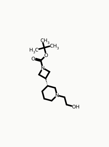 CC(C)(C)OC(=O)N1CC([C@H]2CCCN(CCO)C2)C1